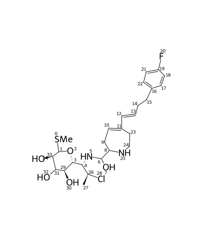 CSC1O[C@H]([C@H](NC(O)C2CC=C(/C=C/CCc3ccc(F)cc3)CCN2)[C@H](C)Cl)[C@@H](O)C(O)[C@H]1O